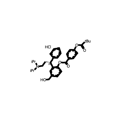 CC(C)N(CC[C@H](c1ccccc1)c1cc(CO)ccc1OC(=O)c1ccc(OC(=O)C(C)(C)C)cc1)C(C)C.Cl